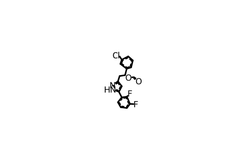 O=COC(Cc1cc(-c2cccc(F)c2F)[nH]n1)c1cccc(Cl)c1